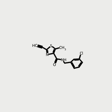 C#Cc1nc(C(=O)NCc2cccc(Cl)c2)c(C)s1